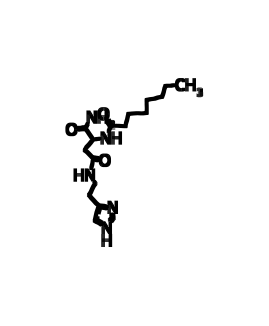 CCCCCCCC(=O)NC(CC(=O)NCCc1c[nH]cn1)C(N)=O